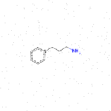 NCCC[si]1ccccc1